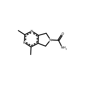 Cc1nc(C)c2c(n1)CN(C(N)=O)C2